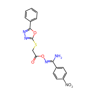 NC(=NOC(=O)CSc1nnc(-c2ccccc2)o1)c1ccc([N+](=O)[O-])cc1